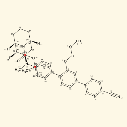 COCOc1cc(-c2cnc(C#N)cn2)ccc1-c1ccc(N(C)[C@@H]2C[C@H]3CCC[C@@H]([C@@H]2F)N3C(=O)OC(C)(C)C)nn1